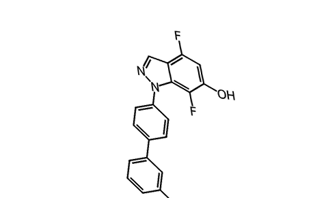 Oc1cccc(-c2ccc(-n3ncc4c(F)cc(O)c(F)c43)cc2)c1